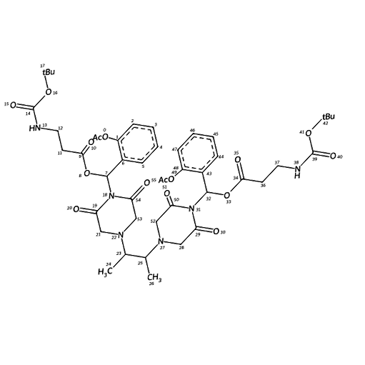 CC(=O)Oc1ccccc1C(OC(=O)CCNC(=O)OC(C)(C)C)N1C(=O)CN(C(C)C(C)N2CC(=O)N(C(OC(=O)CCNC(=O)OC(C)(C)C)c3ccccc3OC(C)=O)C(=O)C2)CC1=O